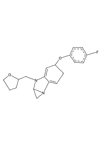 Fc1ccc(OC2C=C3C(=CC2)N2CC2N3CC2CCCO2)cc1